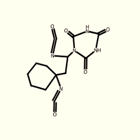 O=C=NC(CC1(N=C=O)CCCCC1)n1c(=O)[nH]c(=O)[nH]c1=O